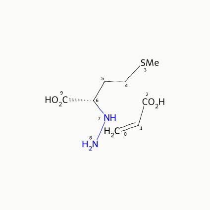 C=CC(=O)O.CSCC[C@H](NN)C(=O)O